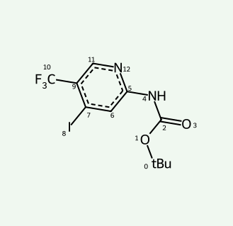 CC(C)(C)OC(=O)Nc1cc(I)c(C(F)(F)F)cn1